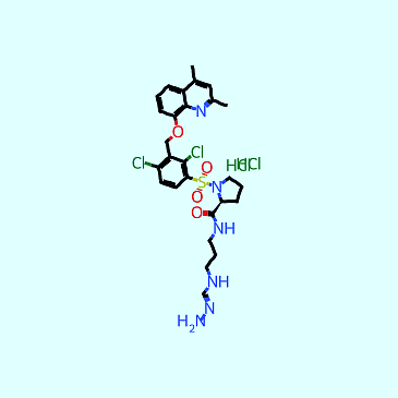 Cc1cc(C)c2cccc(OCc3c(Cl)ccc(S(=O)(=O)N4CCC[C@H]4C(=O)NCCCNC=NN)c3Cl)c2n1.Cl.Cl